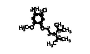 COc1cc(N)c(Cl)cc1OCCN(C(C)C)C(C)C